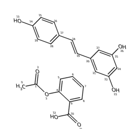 CC(=O)Oc1ccccc1C(=O)O.Oc1ccc(C=Cc2cc(O)cc(O)c2)cc1